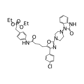 CCOP(=O)(Cc1ccc(NC(=O)CCCc2oc(N3CCN(n4c(=O)[nH]c5ccccc54)CC3)nc2-c2ccc(Cl)cc2)cc1)OCC